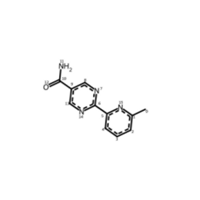 Cc1cccc(-c2ncc(C(N)=O)cn2)n1